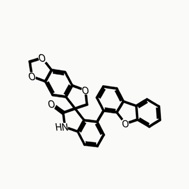 O=C1Nc2cccc(-c3cccc4c3oc3ccccc34)c2C12COc1cc3c(cc12)OCO3